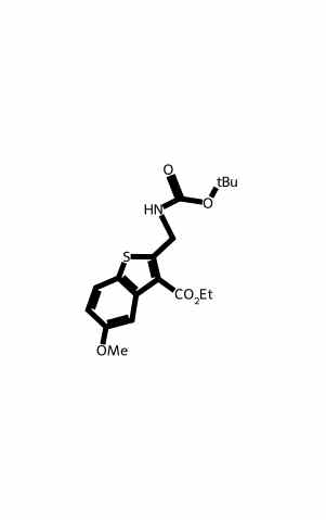 CCOC(=O)c1c(CNC(=O)OC(C)(C)C)sc2ccc(OC)cc12